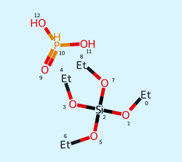 CCO[Si](OCC)(OCC)OCC.O=[PH](O)O